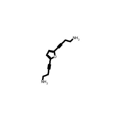 NCCC#Cc1ccc(C#CCCN)o1